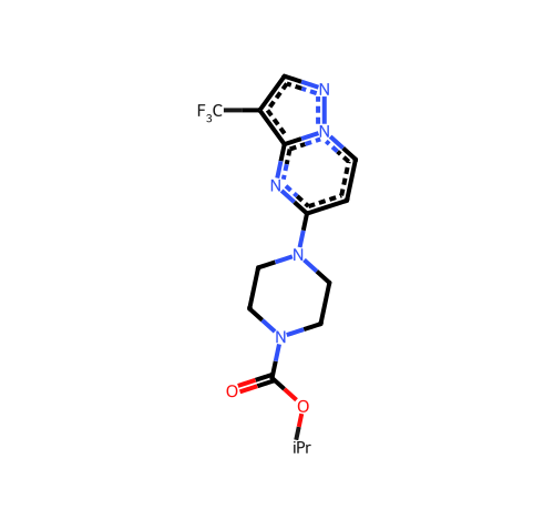 CC(C)OC(=O)N1CCN(c2ccn3ncc(C(F)(F)F)c3n2)CC1